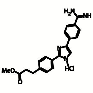 COC(=O)CCc1ccc(-c2nc(-c3ccc(C(=N)N)cc3)cn2C)cc1.Cl